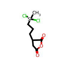 C[Si](Cl)(Cl)CCCC1CC(=O)OC1=O